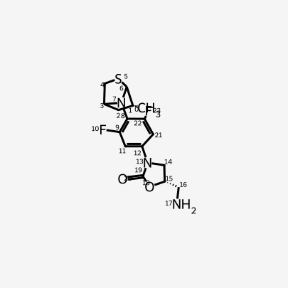 C[C@@H]1CC2CSC1N2c1c(F)cc(N2C[C@H](CN)OC2=O)cc1F